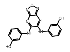 Oc1cccc(Nc2nc3nonc3nc2Nc2cccc(O)c2)c1